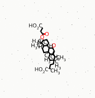 C[C@@H](CC[C@]1(C)CC[C@]2(C)C(=CC(=O)[C@@H]3[C@@]4(C)CC[C@H](OC(=O)CCC(=O)O)C(C)(C)[C@@H]4CC[C@]32C)[C@@H]1C)C(=O)O